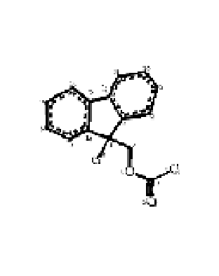 O=C(Cl)OCC1(Cl)c2ccccc2-c2ccccc21